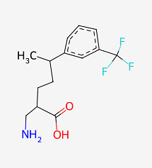 CC(CCC(CN)C(=O)O)c1cccc(C(F)(F)F)c1